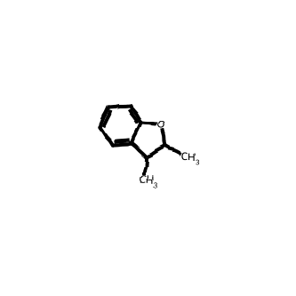 CC1Oc2ccccc2C1C